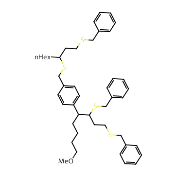 CCCCCCC(CCSCc1ccccc1)SCc1ccc(C(CCCCOC)C(CCSCc2ccccc2)SCc2ccccc2)cc1